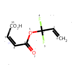 C=CC(F)(F)OC(=O)/C=C\C(=O)O